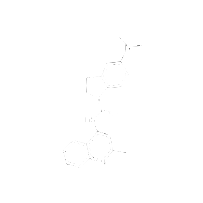 Cc1cc(NC(=O)N2CCc3cc(N(C)C)ccc32)c2ccccc2n1